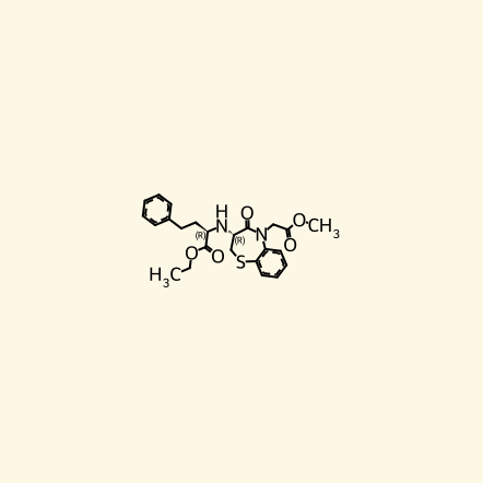 CCOC(=O)[C@@H](CCc1ccccc1)N[C@H]1CSc2ccccc2N(CC(=O)OC)C1=O